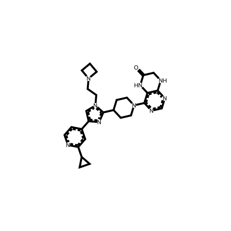 O=C1CNc2ncnc(N3CCC(c4nc(-c5ccnc(C6CC6)c5)cn4CCN4CCC4)CC3)c2N1